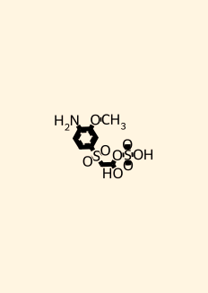 COc1cc(S(=O)(=O)CC(O)OS(=O)(=O)O)ccc1N